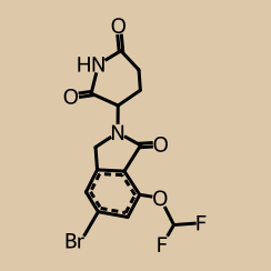 O=C1CCC(N2Cc3cc(Br)cc(OC(F)F)c3C2=O)C(=O)N1